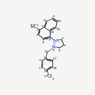 N#Cc1ccc(N2CCCN2Cc2ccc(C(F)(F)F)cc2)c2ccccc12